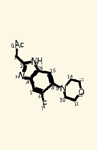 CC(=O)Cc1nc2cc(F)c(N3CCOCC3)cc2[nH]1